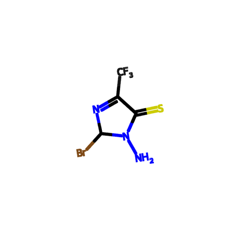 NN1C(=S)C(C(F)(F)F)=NC1Br